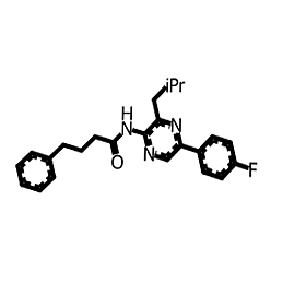 CC(C)Cc1nc(-c2ccc(F)cc2)cnc1NC(=O)CCCc1ccccc1